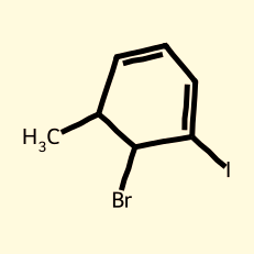 CC1C=CC=C(I)C1Br